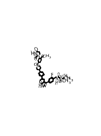 COc1ccc(C(=O)N2CCC(c3ccc(-c4cnc5[nH]nc(-c6ccc(CNC(=O)c7nc(C(C)(C)C)no7)c(F)c6)c5c4)cc3)CC2)cc1N1CCC(=O)NC1=O